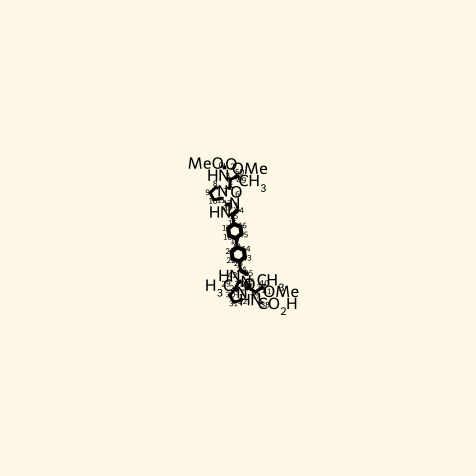 COC(=O)N[C@H](C(=O)N1CCC[C@H]1c1ncc(-c2ccc(-c3ccc(-c4cnc([C@]5(C)CCCN5C(=O)[C@@H](NC(=O)O)[C@@H](C)OC)[nH]4)cc3)cc2)[nH]1)C(C)OC